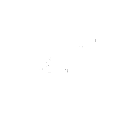 COC(=O)c1ccc2c(C3CCCCC3)c3n(c2c1)CC(C(=O)N1C2CCC1CN(C)C2)=Cc1ccccc1-3